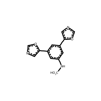 O=C(O)Nc1cc(-c2cnco2)cc(-c2cnco2)c1